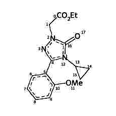 CCOC(=O)Cn1nc(-c2ccccc2OC)n(C2CC2)c1=O